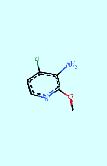 COc1nccc(Cl)c1N